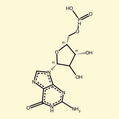 Nc1nc2c(ncn2[C@@H]2O[C@H](CO[PH](=O)O)[C@H](O)C2O)c(=O)[nH]1